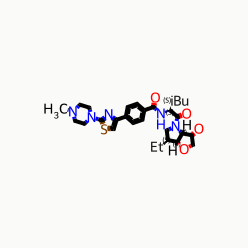 CC[C@H]1CN(C(=O)[C@@H](NC(=O)c2ccc(-c3csc(N4CCN(C)CC4)n3)cc2)[C@@H](C)CC)[C@@H]2C(=O)CO[C@H]12